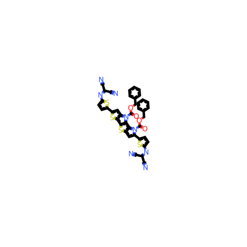 N#CC(C#N)=Nc1ccc(-c2cc3c(s2)c2sc4cc(-c5ccc(N=C(C#N)C#N)s5)n(C(=O)OCc5ccccc5)c4c2n3C(=O)OCc2ccccc2)s1